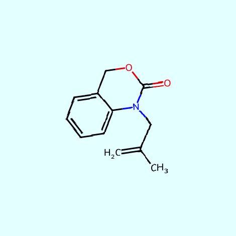 C=C(C)CN1C(=O)OCc2ccccc21